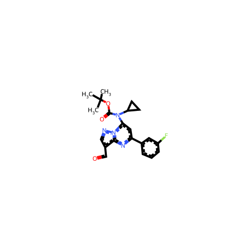 CC(C)(C)OC(=O)N(c1cc(-c2cccc(F)c2)nc2c(C=O)cnn12)C1CC1